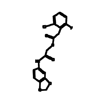 O=C(COC(=O)Cc1c(F)cccc1Cl)Nc1ccc2c(c1)OCO2